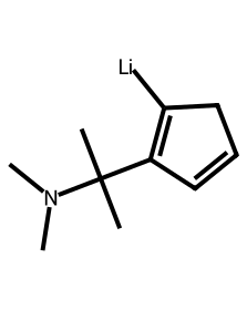 [Li][C]1=C(C(C)(C)N(C)C)C=CC1